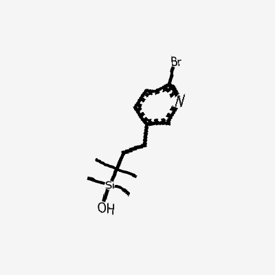 CC(C)(CCc1ccc(Br)nc1)[Si](C)(C)O